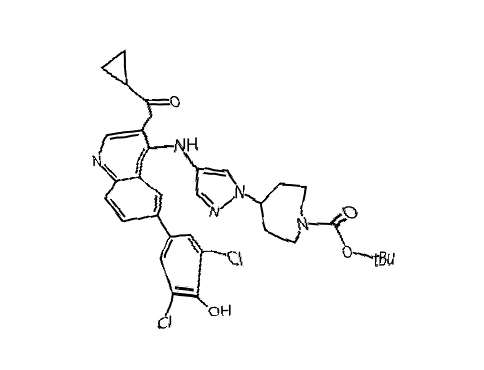 CC(C)(C)OC(=O)N1CCC(n2cc(Nc3c(C(=O)C4CC4)cnc4ccc(-c5cc(Cl)c(O)c(Cl)c5)cc34)cn2)CC1